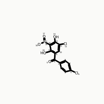 O=C(c1ccc(Cl)cc1)c1cc(Cl)c(O)c([N+](=O)[O-])c1O